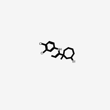 C/C=C(\Nc1ccc(Cl)c(Cl)c1)C1(C)CCCCC(CC)C1